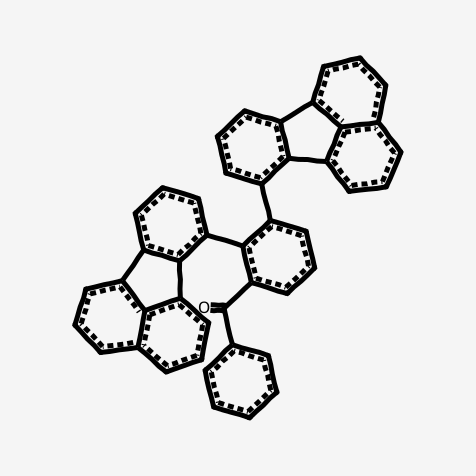 O=C(c1ccccc1)c1cccc(-c2cccc3c2-c2cccc4cccc-3c24)c1-c1cccc2c1-c1cccc3cccc-2c13